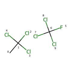 CC(Cl)(Cl)Cl.FC(Cl)(Cl)Cl